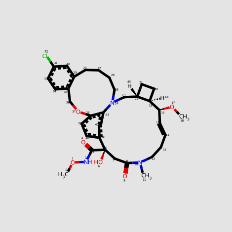 CONC(=O)[C@@]1(O)CC(=O)N(C)CC/C=C/[C@H](OC)[C@@H]2CC[C@H]2CN2CCCCc3cc(Cl)ccc3COc3ccc1cc32